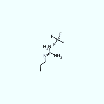 CCCN=C(N)N.F[B-](F)(F)F